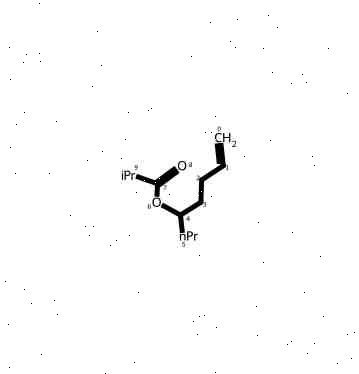 C=CCCC(CCC)OC(=O)C(C)C